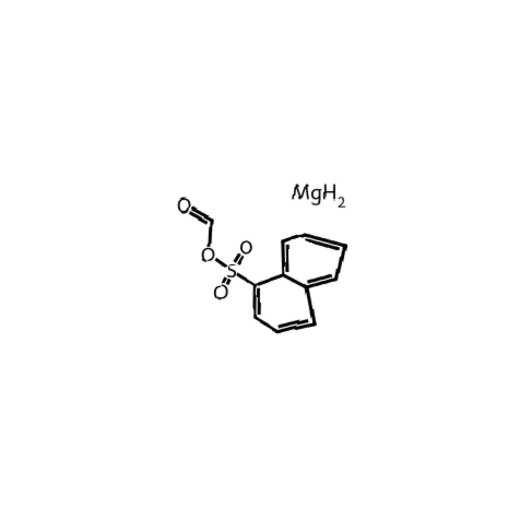 O=COS(=O)(=O)c1cccc2ccccc12.[MgH2]